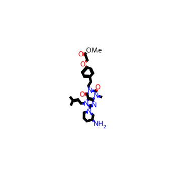 COC(=O)COc1ccc(CCn2c(=O)c3c(nc(N4CCCC(N)C4)n3CC=C(C)C)n(C)c2=O)cc1